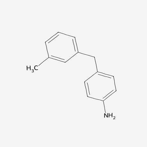 Cc1cccc(Cc2ccc(N)cc2)c1